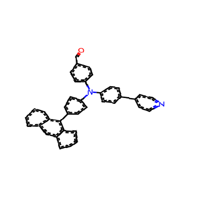 O=Cc1ccc(N(c2ccc(-c3ccncc3)cc2)c2ccc(-c3c4ccccc4cc4ccccc34)cc2)cc1